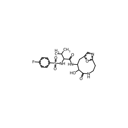 CC(C)C(NS(=O)(=O)c1ccc(F)cc1)C(=O)NC1Cc2cnc(o2)CCNC(=O)C1O